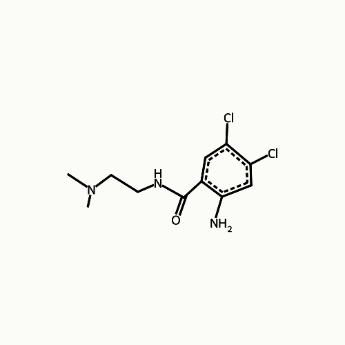 CN(C)CCNC(=O)c1cc(Cl)c(Cl)cc1N